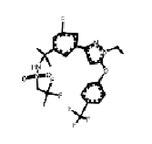 CCn1nc(-c2cc(F)cc(C(C)(C)NS(=O)(=O)CC(F)(F)F)c2)cc1Oc1ccc(C(F)(F)F)cc1